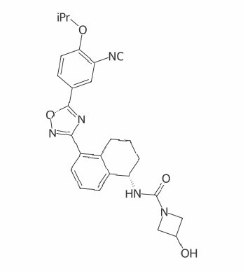 [C-]#[N+]c1cc(-c2nc(-c3cccc4c3CCC[C@@H]4NC(=O)N3CC(O)C3)no2)ccc1OC(C)C